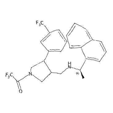 C[C@@H](NCC1CN(C(=O)C(F)(F)F)CC1c1cccc(C(F)(F)F)c1)c1cccc2ccccc12